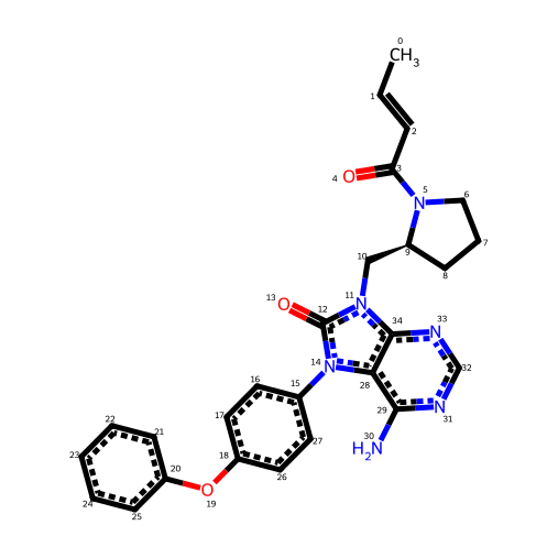 CC=CC(=O)N1CCC[C@H]1Cn1c(=O)n(-c2ccc(Oc3ccccc3)cc2)c2c(N)ncnc21